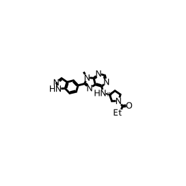 CCC(=O)N1CC[C@H](Nc2ncnc3c2nc(-c2ccc4[nH]ncc4c2)n3C)C1